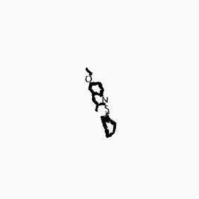 CCOc1ccc2nc(Sc3ccccc3)c(C)cc2c1